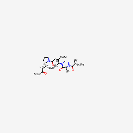 CCC(C)C([C@@H](CC(=O)N1CCC[C@H]1[C@H](OC)[C@@H](C)C(=O)NC)OC)N(C)C(=O)[C@@H](NC(=O)C(NC)C(C)C)C(C)C